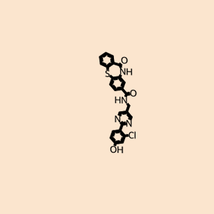 O=C(NCc1cnc(-c2ccc(O)cc2Cl)nc1)c1ccc2c(c1)NC(=O)c1ccccc1S2